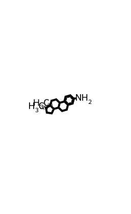 C[C@H]1CCC2C3CCc4cc(N)ccc4C3CC[C@@]21C